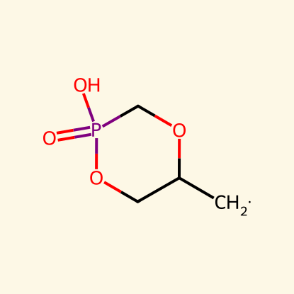 [CH2]C1COP(=O)(O)CO1